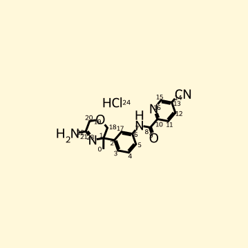 CC1(c2cccc(NC(=O)c3ccc(C#N)cn3)c2)COCC(N)=N1.Cl